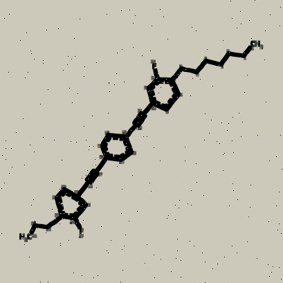 CCCCCCCc1ccc(C#Cc2ccc(C#Cc3ccc(CCC)c(F)c3)cc2)cc1F